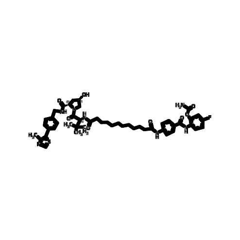 Cc1ncsc1-c1ccc(CNC(=O)[C@@H]2C[C@@H](O)CN2C(=O)[C@@H](NC(=O)CCCCCCCCCCC(=O)Nc2ccc(C(=O)Nc3ccc(F)cc3OC(N)=O)cc2)C(C)(C)C)cc1